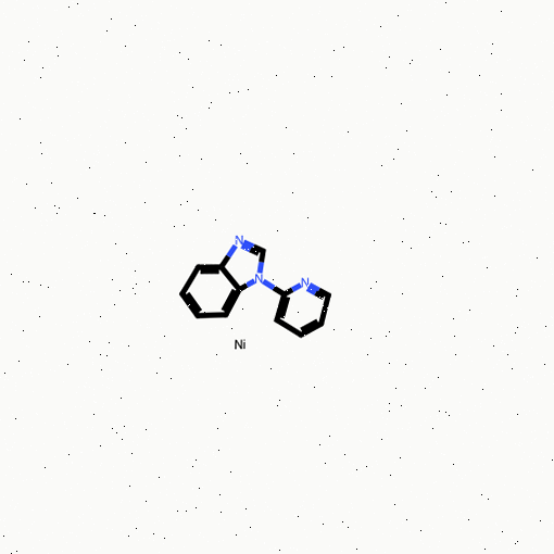 [Ni].c1ccc(-n2cnc3ccccc32)nc1